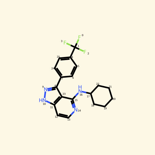 FC(F)(F)c1ccc(-c2n[nH]c3ccnc(NC4CCCCC4)c23)cc1